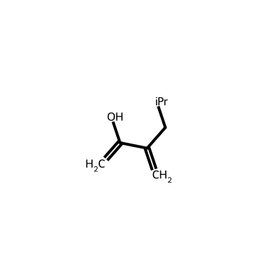 C=C(O)C(=C)CC(C)C